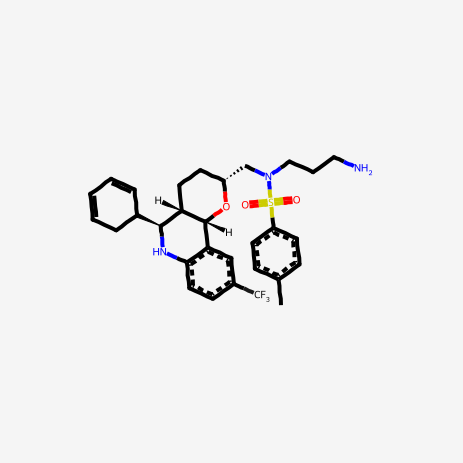 Cc1ccc(S(=O)(=O)N(CCCN)C[C@H]2CC[C@@H]3[C@H](O2)c2cc(C(F)(F)F)ccc2N[C@H]3C2C=CC=CC2)cc1